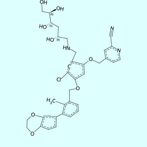 Cc1c(COc2cc(OCc3ccnc(C#N)c3)c(CNC[C@H](O)C[C@H](O)[C@H](O)CO)cc2Cl)cccc1-c1ccc2c(c1)OCCO2